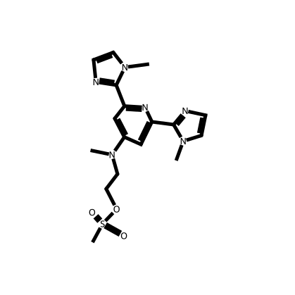 CN(CCOS(C)(=O)=O)c1cc(-c2nccn2C)nc(-c2nccn2C)c1